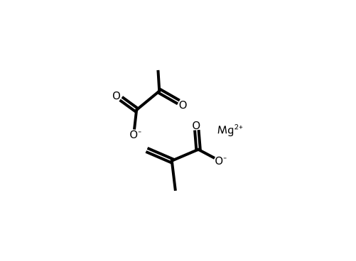 C=C(C)C(=O)[O-].CC(=O)C(=O)[O-].[Mg+2]